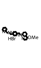 Br.COc1ccnc2c1CCCC2NCc1ccc(CNCc2ccccn2)cc1